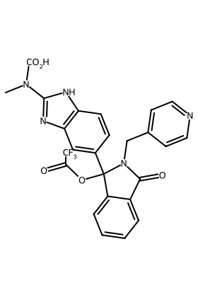 CN(C(=O)O)c1nc2cc(C3(OC(=O)C(F)(F)F)c4ccccc4C(=O)N3Cc3ccncc3)ccc2[nH]1